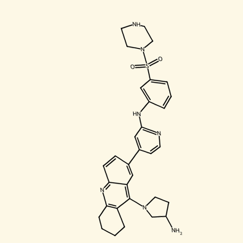 NC1CCN(c2c3c(nc4ccc(-c5ccnc(Nc6cccc(S(=O)(=O)N7CCNCC7)c6)c5)cc24)CCCC3)C1